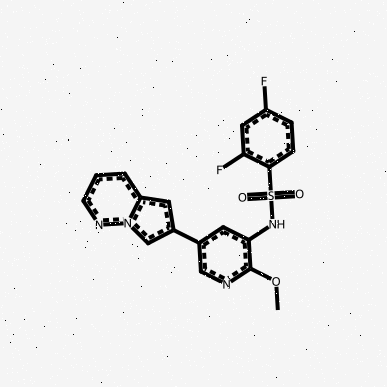 COc1ncc(-c2cc3cccnn3c2)cc1NS(=O)(=O)c1ccc(F)cc1F